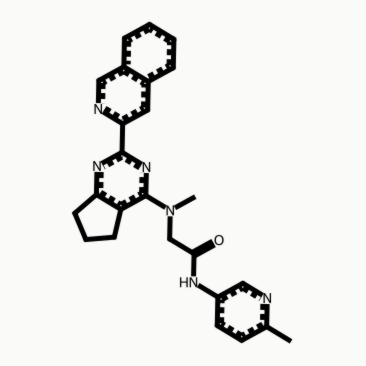 Cc1ccc(NC(=O)CN(C)c2nc(-c3cc4ccccc4cn3)nc3c2CCC3)cn1